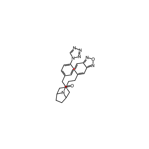 O=C(Cc1ccc(-n2cnnn2)cc1)N1C2CCC1CN(CCc1ccc3nonc3c1)C2